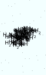 N=C(N)NCCC[C@H](NC(=O)[C@H](CCCNC(=N)N)NC(=O)[C@H](CCCNC(=N)N)NC(=O)[C@H](Cc1c[nH]c2ccccc12)NC(=O)[C@H](Cc1c[nH]c2ccccc12)NC(=O)[C@H](CCCNC(=N)N)NC(=O)[C@@H](N)CCCNC(=N)N)C(=O)N[C@@H](Cc1c[nH]c2ccccc12)C(=O)O